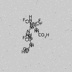 CN1CCN(CCn2cc(-c3c[nH]c4cc(F)ccc34)cn2)CC1.O=C(O)CCn1cc(-c2c[nH]c3cc(F)c(F)cc23)cn1.O=C1NCCN1CCn1cc(-c2c[nH]c3cc(F)ccc23)cn1